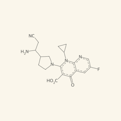 N#CCC(N)C1CCN(c2c(C(=O)O)c(=O)c3cc(F)cnc3n2C2CC2)C1